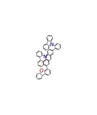 C1=CC2Oc3c(-c4ccc(N(c5ccc(-c6ccccc6-n6c7ccccc7c7ccccc76)cc5)c5ccccc5-c5ccccc5-c5ccccc5)cc4)cccc3C2C=C1